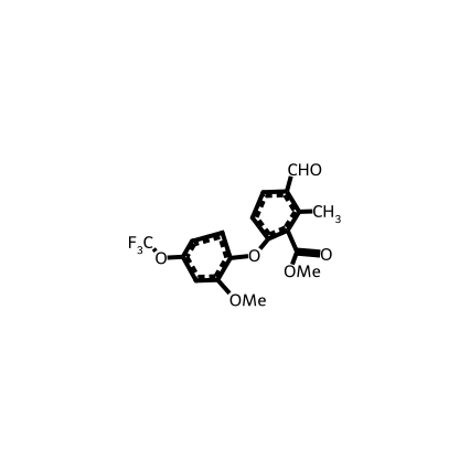 COC(=O)c1c(Oc2ccc(OC(F)(F)F)cc2OC)ccc(C=O)c1C